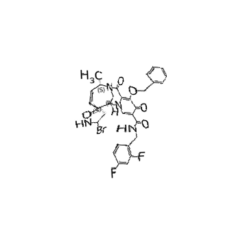 C[C@H]1C=C[C@@]2(CC(Br)NO2)[C@H]2CN1C(=O)c1c(OCc3ccccc3)c(=O)c(C(=O)NCc3ccc(F)cc3F)cn12